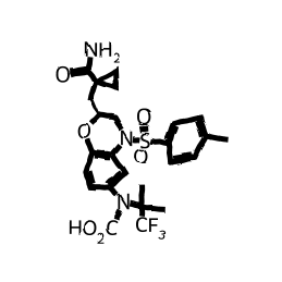 Cc1ccc(S(=O)(=O)N2C[C@H](CC3(C(N)=O)CC3)Oc3ccc(N(C(=O)O)C(C)(C)C(F)(F)F)cc32)cc1